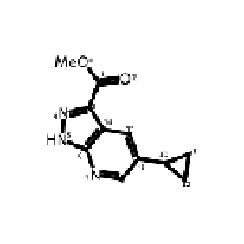 COC(=O)c1n[nH]c2ncc(C3CC3)cc12